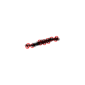 C=CC(=O)OCCCCOc1ccc(CCc2ccc(C(=O)Oc3ccc(OC(=O)c4ccc(OC(=O)c5ccc(OCCCCOC(=O)C=C)cc5)cc4)c(C)c3)cc2)cc1